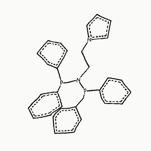 c1ccc(P(c2ccccc2)N(CCn2cccc2)P(c2ccccc2)c2ccccc2)cc1